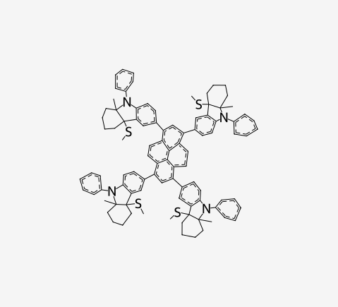 CSC12CCCCC1(C)N(c1ccccc1)c1ccc(-c3cc(-c4ccc5c(c4)C4(SC)CCCCC4(C)N5c4ccccc4)c4ccc5c(-c6ccc7c(c6)C6(SC)CCCCC6(C)N7c6ccccc6)cc(-c6ccc7c(c6)C6(SC)CCCCC6(C)N7c6ccccc6)c6ccc3c4c65)cc12